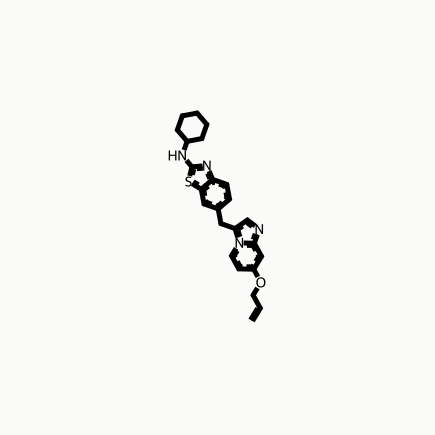 C=CCOc1ccn2c(Cc3ccc4nc(NC5CCCCC5)sc4c3)cnc2c1